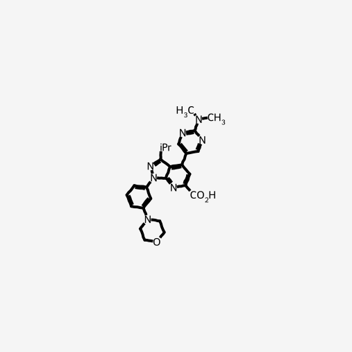 CC(C)c1nn(-c2cccc(N3CCOCC3)c2)c2nc(C(=O)O)cc(-c3cnc(N(C)C)nc3)c12